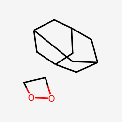 C1C2CC3CC1CC(C2)C3.C1COO1